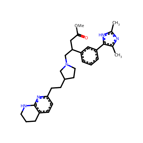 COC(=O)CC(CN1CCC(CCc2ccc3c(n2)NCCC3)C1)c1cccc(-c2[nH]c(C)nc2C)c1